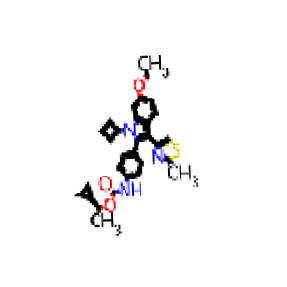 CCOc1ccc2c(-c3csc(C)n3)c(-c3ccc(NC(=O)OC(C)C4CC4)cc3)n(C3CCC3)c2c1